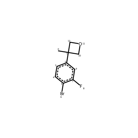 CC1(c2ccc(Br)c(F)c2)COC1